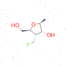 C[C@@H]1O[C@H](CO)[C@@H](CF)[C@H]1O